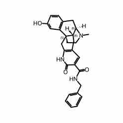 CN1CC[C@]23Cc4[nH]c(=O)c(C(=O)NCc5ccccc5)cc4C[C@H]2[C@H]1Cc1ccc(O)cc13